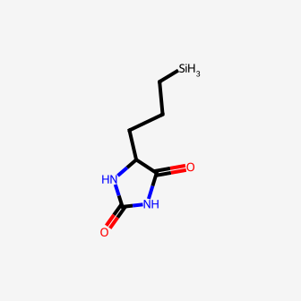 O=C1NC(=O)C(CCC[SiH3])N1